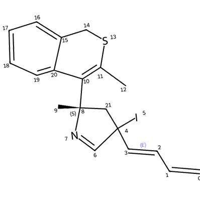 C=C/C=C/C1(I)C=N[C@](C)(C2=C(C)SCc3ccccc32)C1